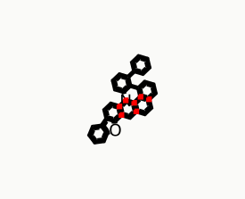 c1ccc(-c2ccccc2-c2c(-c3ccccc3)cccc2N(c2ccccc2)c2ccc3c(c2)oc2ccccc23)cc1